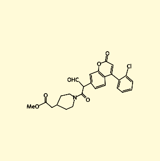 COC(=O)CC1CCN(C(=O)C(C=O)c2ccc3c(-c4ccccc4Cl)cc(=O)oc3c2)CC1